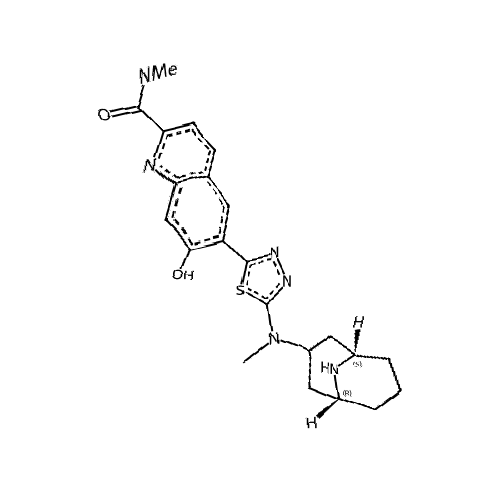 CNC(=O)c1ccc2cc(-c3nnc(N(C)C4C[C@H]5CCC[C@@H](C4)N5)s3)c(O)cc2n1